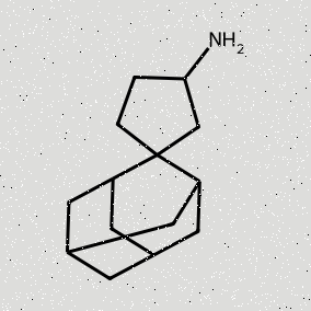 NC1CCC2(C1)C1CC3CC(C1)CC2C3